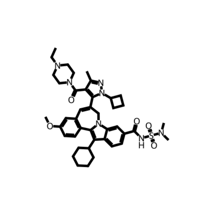 CCN1CCN(C(=O)c2c(C)nn(C3CCC3)c2C2=Cc3cc(OC)ccc3-c3c(C4CCCCC4)c4ccc(C(=O)NS(=O)(=O)N(C)C)cc4n3C2)CC1